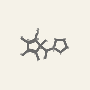 CC1=C(C)C(C)(C(C)N2CCCC2)[C]([Ti])=C1C